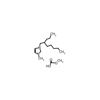 CCCCCC(CCC)CN1C=CN(C)C1.COC(=O)O